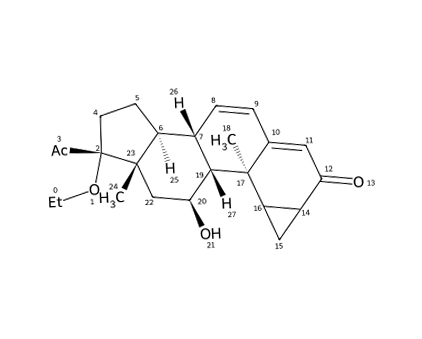 CCO[C@]1(C(C)=O)CC[C@H]2[C@@H]3C=CC4=CC(=O)C5CC5[C@@]4(C)[C@@H]3[C@@H](O)C[C@@]21C